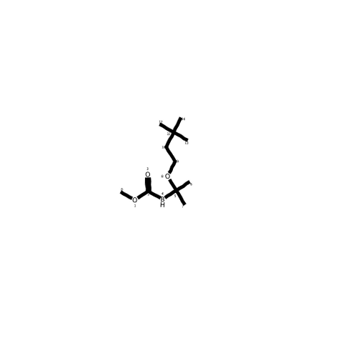 COC(=O)BC(C)(C)OCCC(C)(C)C